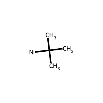 C[C](C)(C)[Ni]